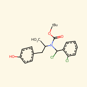 CC(C)(C)OC(=O)N(C(Cc1ccc(O)cc1)C(=O)O)C(Cl)c1ccccc1Cl